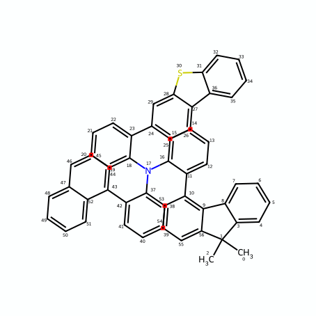 CC1(C)c2ccccc2-c2c(-c3ccccc3N(c3ccccc3-c3ccc4c(c3)sc3ccccc34)c3ccccc3-c3cccc4ccccc34)cccc21